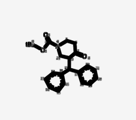 CC(C)(C)OC(=O)N1CCC(=O)C(C(c2ccccc2)c2ccccc2)C1